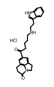 Cl.O=C(CCCCNCCc1c[nH]c2ccccc12)c1cc2c3c(c1)CCN3C(=O)CC2